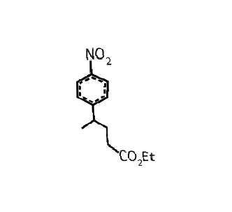 CCOC(=O)CCC(C)c1ccc([N+](=O)[O-])cc1